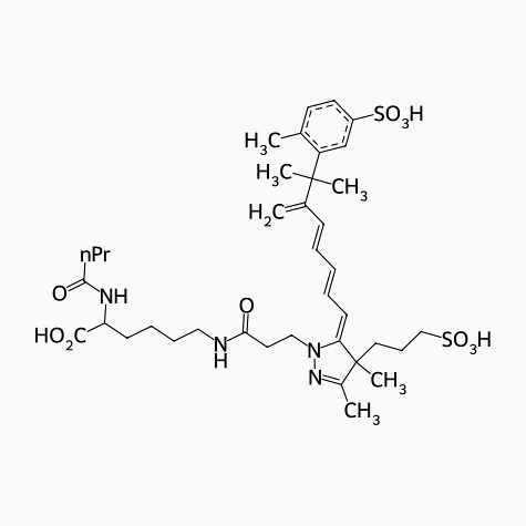 C=C(/C=C/C=C/C=C1\N(CCC(=O)NCCCCC(NC(=O)CCC)C(=O)O)N=C(C)C1(C)CCCS(=O)(=O)O)C(C)(C)c1cc(S(=O)(=O)O)ccc1C